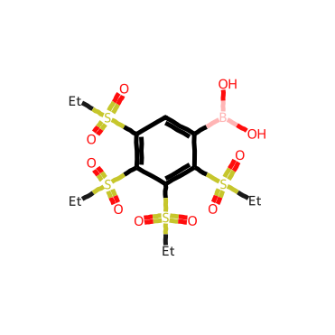 CCS(=O)(=O)c1cc(B(O)O)c(S(=O)(=O)CC)c(S(=O)(=O)CC)c1S(=O)(=O)CC